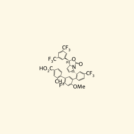 COc1cc(F)c(-c2ccc(C(=O)O)cc2C)cc1-c1ccc(C(F)(F)F)cc1[C@@H]1C=CC2[C@@H](c3cc(C(F)(F)F)cc(C(F)(F)F)c3)OC(=O)N21